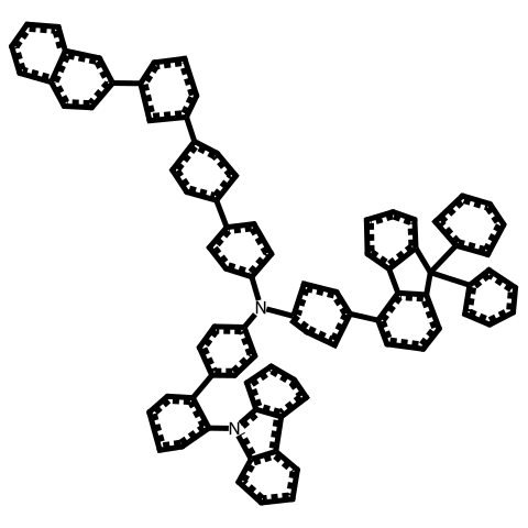 c1ccc(C2(c3ccccc3)c3ccccc3-c3c(-c4ccc(N(c5ccc(-c6ccc(-c7cccc(-c8ccc9ccccc9c8)c7)cc6)cc5)c5ccc(-c6ccccc6-n6c7ccccc7c7ccccc76)cc5)cc4)cccc32)cc1